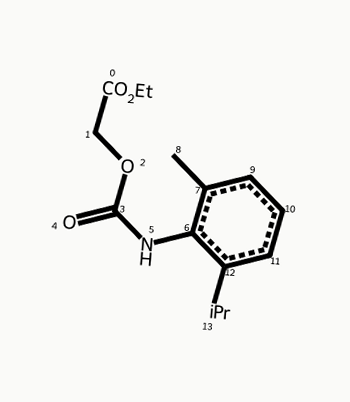 CCOC(=O)COC(=O)Nc1c(C)cccc1C(C)C